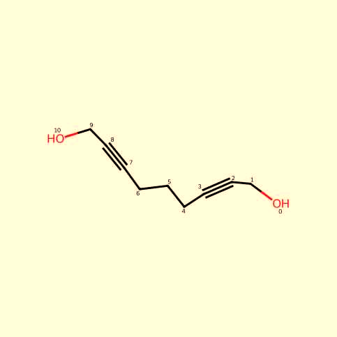 OCC#CCCCC#CCO